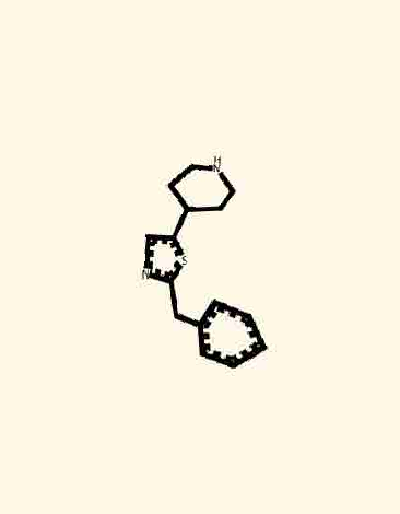 c1ccc(Cc2ncc(C3CCNCC3)s2)cc1